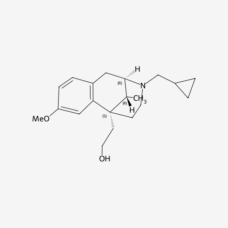 COc1ccc2c(c1)[C@]1(CCO)CCN(CC3CC3)[C@H](C2)[C@@H]1C